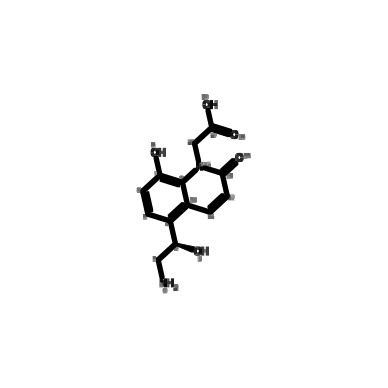 NC[C@H](O)c1ccc(O)c2c1ccc(=O)n2CC(=O)O